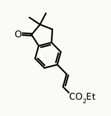 CCOC(=O)/C=C/c1ccc2c(c1)CC(C)(C)C2=O